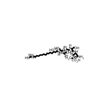 CC(NC(=O)C(CC(N)=O)NC(=O)C(CO)NC(=O)C(NC(=O)C(NC(=O)C(CO)NC(=O)CC(O)CCCCCCCCCCCCNC(=N)N)C(C)C)C(C)C)C(=O)O